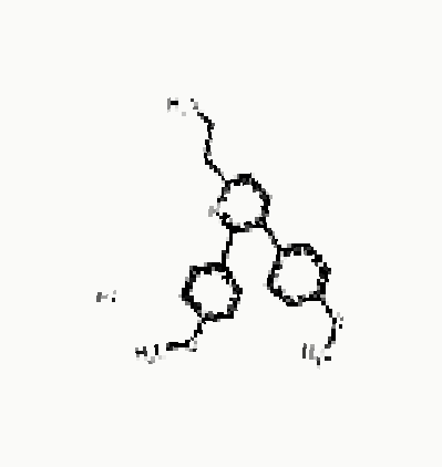 COc1ccc(-c2ccc(CCN)nc2-c2ccc(OC)cc2)cc1.Cl